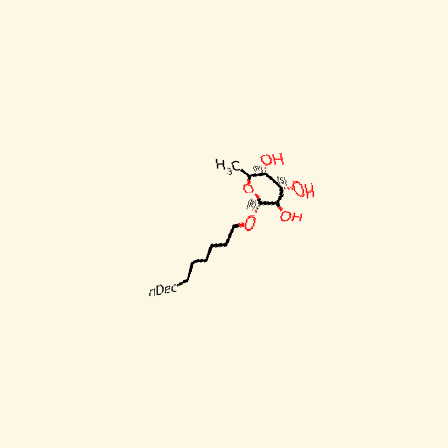 CCCCCCCCCCCCCCCCO[C@@H]1OC(C)[C@H](O)[C@H](O)C1O